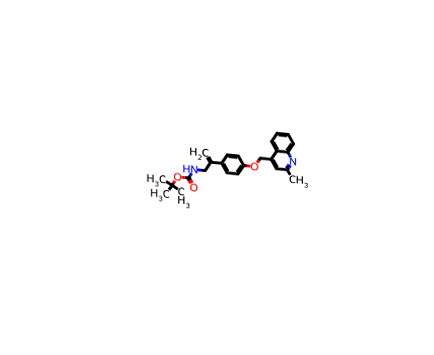 C=C(CNC(=O)OC(C)(C)C)c1ccc(OCc2cc(C)nc3ccccc23)cc1